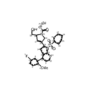 COc1ccc(F)cc1-c1ccnc2c1cc(C1=CC(CO)N(C(=O)OC(C)(C)C)C1)n2S(=O)(=O)c1ccccc1